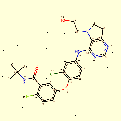 CC(C)(C)NC(=O)c1cc(Oc2ccc(Nc3ncnc4c3N(CCO)CC4)cc2Cl)ccc1F